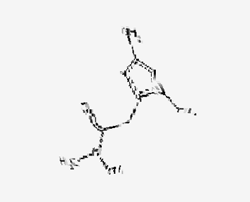 Cc1cc(N)nn1CC(=O)N(C)C